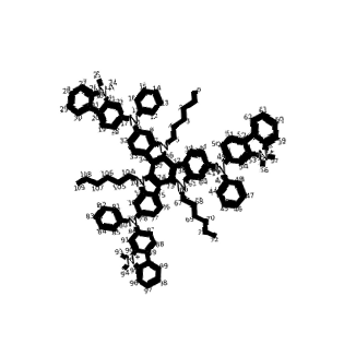 CCCCCCn1c2cc(N(c3ccccc3)c3ccc4c(c3)[N+](C)(C)c3ccccc3-4)ccc2c2c1c1c3ccc(N(c4ccccc4)c4ccc5c(c4)[N+](C)(C)c4ccccc4-5)cc3n(CCCCCC)c1c1c3ccc(N(c4ccccc4)c4ccc5c(c4)[N+](C)(C)c4ccccc4-5)cc3n(CCCCCC)c21